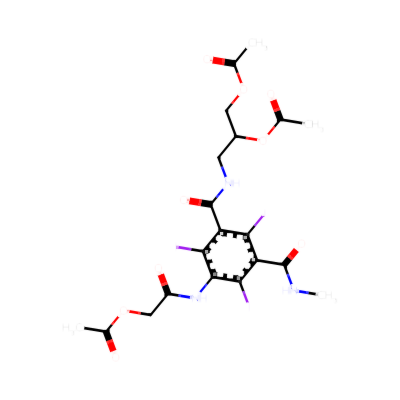 CNC(=O)c1c(I)c(NC(=O)COC(C)=O)c(I)c(C(=O)NCC(COC(C)=O)OC(C)=O)c1I